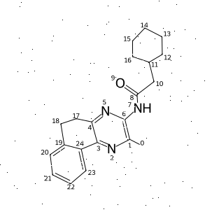 Cc1nc2c(nc1NC(=O)CC1CCCCC1)CCc1ccccc1-2